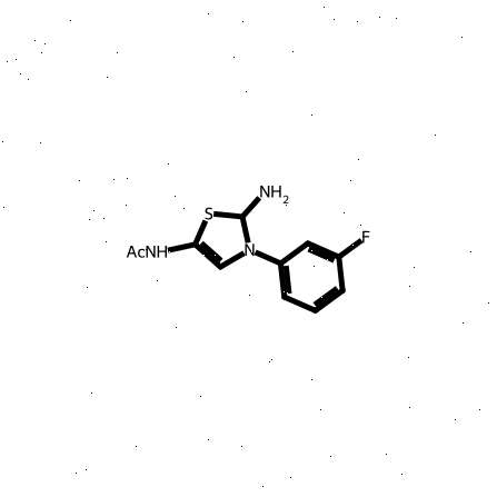 CC(=O)NC1=CN(c2cccc(F)c2)C(N)S1